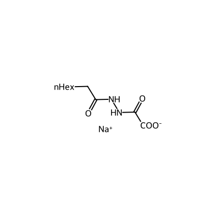 CCCCCCCC(=O)NNC(=O)C(=O)[O-].[Na+]